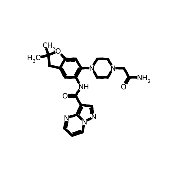 CC1(C)Cc2cc(NC(=O)c3cnn4cccnc34)c(N3CCN(CC(N)=O)CC3)cc2O1